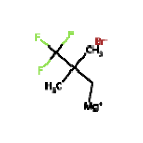 CC(C)([CH2][Mg+])C(F)(F)F.[Br-]